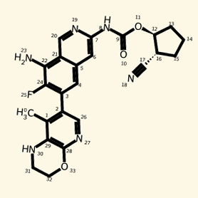 Cc1c(-c2cc3cc(NC(=O)O[C@H]4CCC[C@@H]4C#N)ncc3c(N)c2F)cnc2c1NCCO2